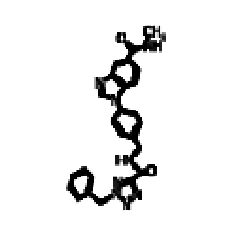 CNC(=O)c1ccc2c(c1)ncn2-c1ccc(CNC(=O)c2nnn(Cc3ccccc3)n2)cc1